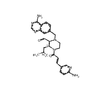 CC(C)C[C@H]1C(C=O)N(Cc2ccc3c(N)ncnc3c2)CCN1C(=O)C=Cc1ccc(N)nc1